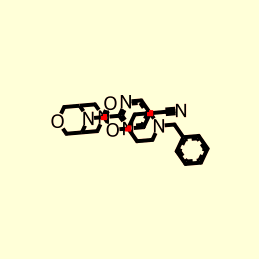 N#Cc1cnc(N2CC3COCC(C2)N3C(=O)OC2CCN(Cc3ccccc3)CC2)nc1